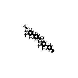 C=Cc1ccc(-c2ccc(OC(=O)c3ccc(-c4ccc(OCC)c(F)c4F)cc3)c(F)c2F)cc1